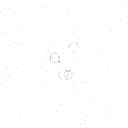 CC1CC2C=CC=CC2[CH]1[Zr]([O]c1cccc([N+](=O)[O-])c1)([O]c1cccc([N+](=O)[O-])c1)[CH]1C(C)CC2C=CC=CC21